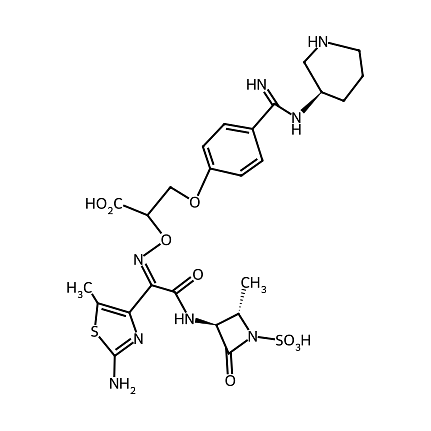 Cc1sc(N)nc1/C(=N/OC(COc1ccc(C(=N)N[C@@H]2CCCNC2)cc1)C(=O)O)C(=O)N[C@@H]1C(=O)N(S(=O)(=O)O)[C@H]1C